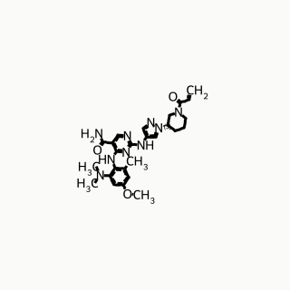 C=CC(=O)N1CCC[C@H](n2cc(Nc3ncc(C(N)=O)c(Nc4c(C)cc(OC)cc4N(C)C)n3)cn2)C1